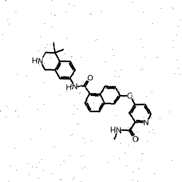 CNC(=O)c1cc(Oc2ccc3c(C(=O)Nc4ccc5c(c4)CNCC5(C)C)cccc3c2)ccn1